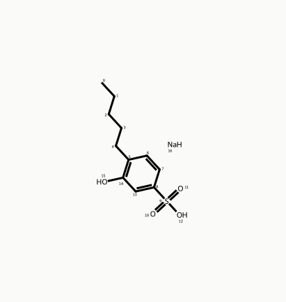 CCCCCc1ccc(S(=O)(=O)O)cc1O.[NaH]